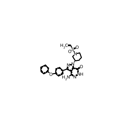 C=CS(=O)(=O)N1CCC[C@@H](n2nc(-c3ccc(Oc4ccccc4)cc3)c3c(N)n[nH]c(=O)c32)C1